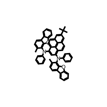 Cc1ccc2c(oc3ccccc32)c1N(c1ccccc1)c1cc(N(c2ccccc2)c2c(C)ccc3c2oc2ccccc23)c2ccc3cc(C(C)(C)C)cc4ccc1c2c43